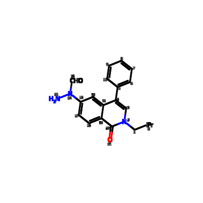 CC(C)Cn1[c]c(-c2ccccc2)c2cc(N(N)C=O)ccc2c1=O